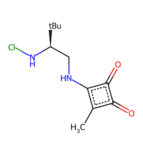 Cc1c(NC[C@@H](NCl)C(C)(C)C)c(=O)c1=O